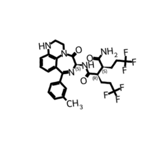 Cc1cccc(C2=N[C@H](NC(=O)[C@H](CCC(F)(F)F)[C@H](CCC(F)(F)F)C(N)=O)C(=O)N3CCNc4cccc2c43)c1